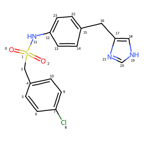 O=S(=O)(Cc1ccc(Cl)cc1)Nc1ccc(Cc2c[nH]cn2)cc1